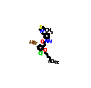 Br.CCCCCCCCCCCCCCOc1c(Cl)cccc1CC(=O)Nc1cccc(CN2CSC=C2C)c1